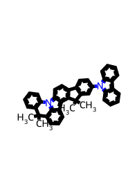 CC1(C)c2cc(-n3c4ccccc4c4ccccc43)ccc2-c2ccc3c(c21)c1cccc2c1n3-c1ccccc1C2(C)C